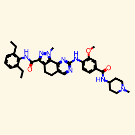 CCc1cccc(CC)c1NC(=O)c1nn(C)c2c1CCc1cnc(Nc3ccc(C(=O)NC4CCN(C)CC4)cc3OC)nc1-2